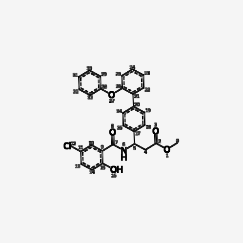 COC(=O)CC(NC(=O)c1cc(Cl)ccc1O)c1ccc(-c2ccccc2Oc2ccccc2)cc1